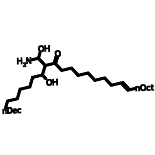 CCCCCCCCC=CCCCCCCCC(=O)C(C(N)O)C(O)CCCCCCCCCCCCCCC